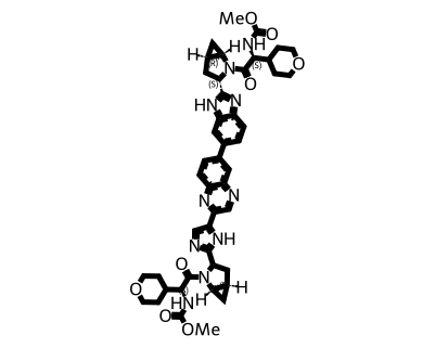 COC(=O)N[C@H](C(=O)N1C(c2ncc(-c3cnc4cc(-c5ccc6nc([C@@H]7C[C@H]8C[C@H]8N7C(=O)[C@@H](NC(=O)OC)C7CCOCC7)[nH]c6c5)ccc4n3)[nH]2)C[C@H]2C[C@H]21)C1CCOCC1